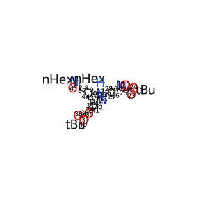 CCCCCCN(CCCCCC)C(=O)C=Cc1ccc(-c2[nH]c(-c3ccc(C4=NOC(C(=O)OC(C)(C)C)C4)cc3)nc2-c2ccc(OCC(=O)OC(C)(C)C)cc2)cc1